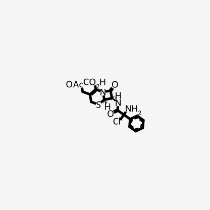 CC(=O)OCC1=C(C(=O)O)N2C(=O)[C@@H](NC(=O)C(N)(Cl)c3ccccc3)[C@H]2SC1